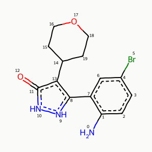 Nc1ccc(Br)cc1-c1[nH][nH]c(=O)c1C1CCOCC1